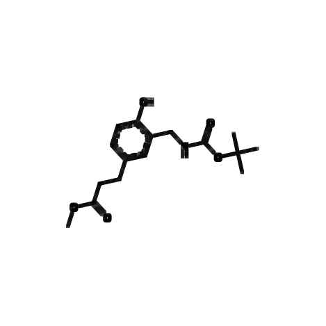 COC(=O)CCc1ccc(O)c(CNC(=O)OC(C)(C)C)c1